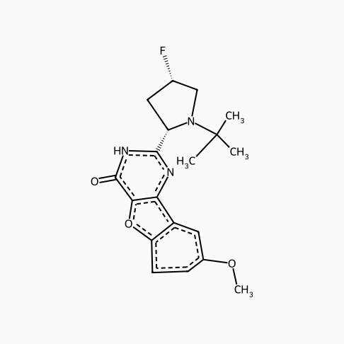 COc1ccc2oc3c(=O)[nH]c([C@@H]4C[C@H](F)CN4C(C)(C)C)nc3c2c1